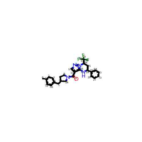 Cc1ccc(CC2CCN(C(=O)c3cnn4c3NC(c3ccccc3)CC4C(F)(F)F)C2)cc1